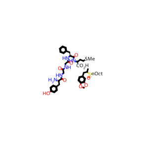 CCCCCCCC[S+]([O-])C(C)Cc1ccc2c(c1)OCO2.CSCC[C@H](NC(=O)[C@H](Cc1ccccc1)NC(=O)CNC(=O)CNC(=O)[C@@H](N)Cc1ccc(O)cc1)C(=O)O